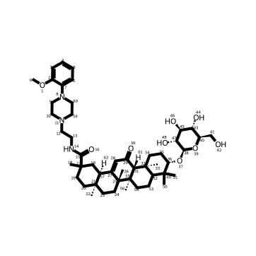 COc1ccccc1N1CCN(CCNC(=O)C2(C)CC[C@]3(C)CC[C@]4(C)C(=CC(=O)[C@@H]5[C@@]6(C)CC[C@H](O[C@@H]7O[C@H](CO)[C@@H](O)[C@H](O)[C@H]7O)C(C)(C)C6CC[C@]54C)[C@@H]3C2)CC1